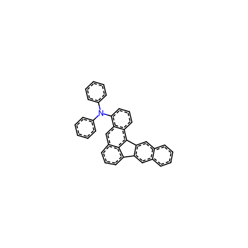 c1ccc(N(c2ccccc2)c2cccc3c4c5c(cccc5cc23)-c2cc3ccccc3cc2-4)cc1